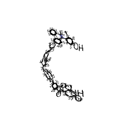 CC/C(=C(\c1ccc(O)cc1)c1ccc(OCCN2CCC(CN3CCN(c4ccc5c(c4)C(=O)N(C4CCC(=O)NC4=O)C5=O)CC3)C2)cc1)c1ccccc1